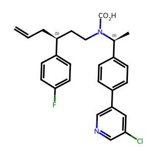 C=CC[C@@H](CCN(C(=O)O)[C@@H](C)c1ccc(-c2cncc(Cl)c2)cc1)c1ccc(F)cc1